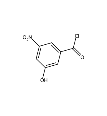 O=C(Cl)c1cc(O)cc([N+](=O)[O-])c1